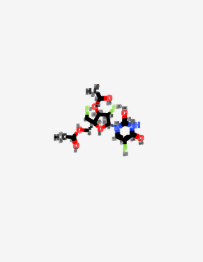 CC(=O)OC[C@@]1(CF)O[C@@H](n2cc(F)c(=O)[nH]c2=O)[C@H](F)[C@@H]1OC(C)=O